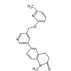 Cc1cccc(OCc2cncc(-c3ccc4c(c3)CCC(=O)N4C)c2)n1